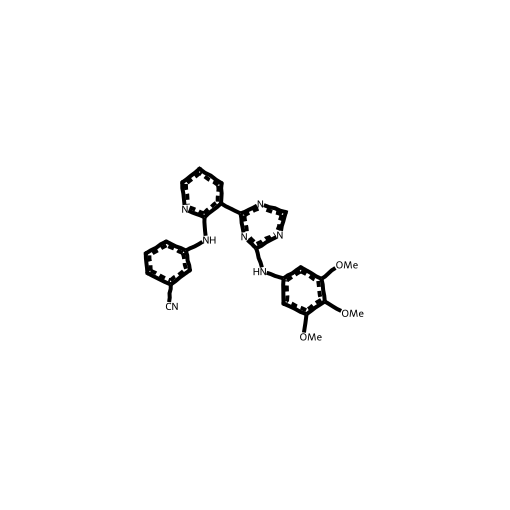 COc1cc(Nc2ncnc(-c3cccnc3Nc3cccc(C#N)c3)n2)cc(OC)c1OC